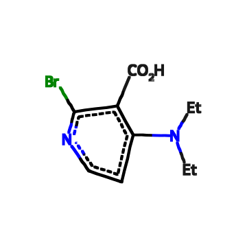 CCN(CC)c1ccnc(Br)c1C(=O)O